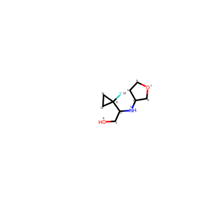 OCC(NC1CCOC1)C1(F)CC1